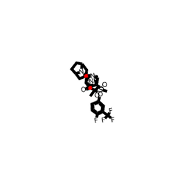 CC(C)(Oc1ccc(F)c(C(F)(F)F)c1)C(=O)NC1CC2CCC(C1)N2c1ccc(S(C)(=O)=O)cn1